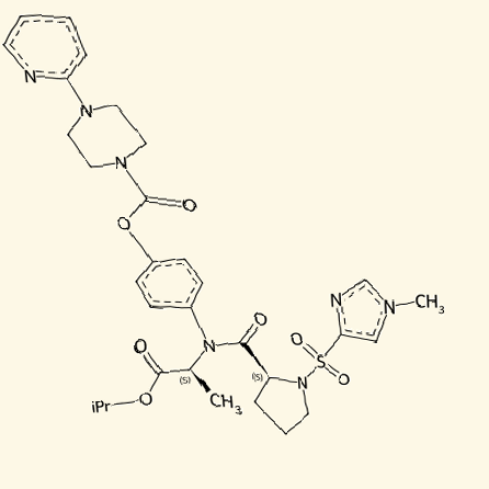 CC(C)OC(=O)[C@H](C)N(C(=O)[C@@H]1CCCN1S(=O)(=O)c1cn(C)cn1)c1ccc(OC(=O)N2CCN(c3ccccn3)CC2)cc1